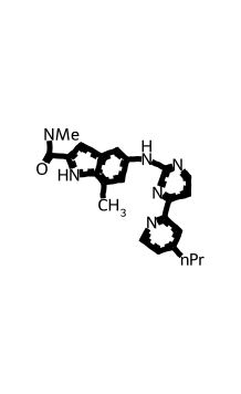 CCCc1ccnc(-c2ccnc(Nc3cc(C)c4[nH]c(C(=O)NC)cc4c3)n2)c1